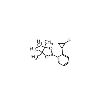 CC1(C)OB(c2ccccc2C2CC2F)OC1(C)C